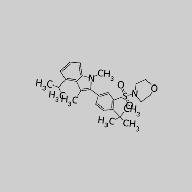 Cc1c(-c2ccc(C(C)(C)C)c(S(=O)(=O)N3CCOCC3)c2)n(C)c2cccc(C(C)C)c12